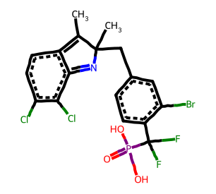 CC1=c2ccc(Cl)c(Cl)c2=NC1(C)Cc1ccc(C(F)(F)P(=O)(O)O)c(Br)c1